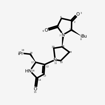 CC[C@H](C)C1C(=O)CC(=O)N1[C@H]1CCN(C2=CC(=O)N[C@H]2CC(C)C)C1